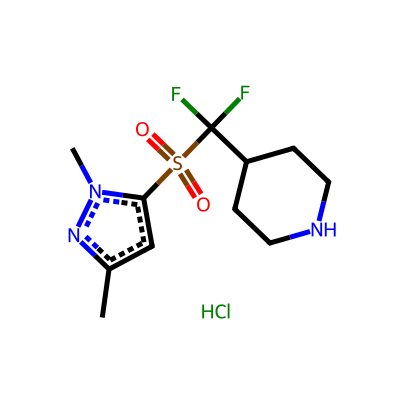 Cc1cc(S(=O)(=O)C(F)(F)C2CCNCC2)n(C)n1.Cl